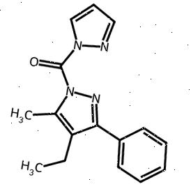 CCc1c(-c2ccccc2)nn(C(=O)n2cccn2)c1C